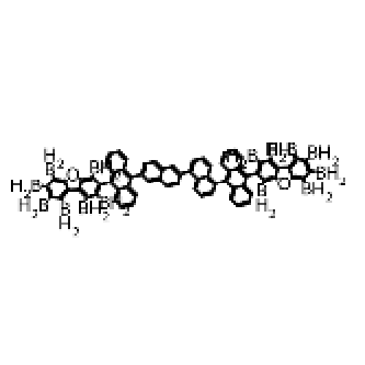 Bc1c(B)c(B)c2c(oc3c(B)c(-c4c5ccccc5c(-c5ccc6cc(-c7cccc8c(-c9c%10ccccc%10c(-c%10c(B)c(B)c%11c(oc%12c(B)c(B)c(B)c(B)c%12%11)c%10B)c%10ccccc9%10)cccc78)ccc6c5)c5ccccc45)c(B)c(B)c32)c1B